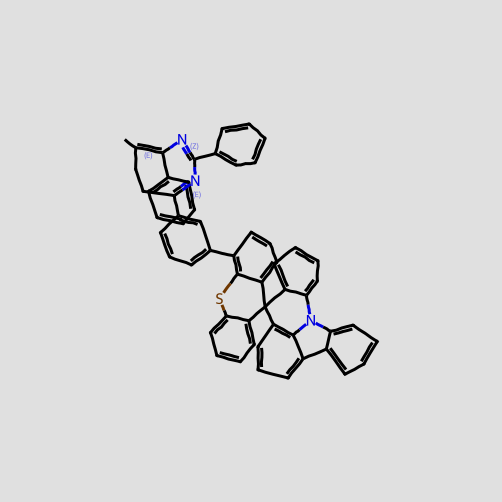 C\C1=C(c2ccccc2)/N=C(c2ccccc2)\N=C(\c2cccc(-c3cccc4c3Sc3ccccc3C43c4ccccc4-n4c5ccccc5c5cccc3c54)c2)CC1